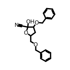 N#CC1(O)OC(COCc2ccccc2)CC1OCc1ccccc1